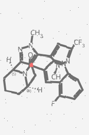 Cn1nc(C(F)(F)F)cc1-c1c2c(nn1C)[C@@H]1CCC[C@H](C2)N1C(=O)c1cnc2cccc(F)c2c1